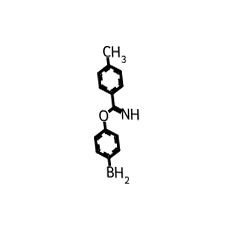 Bc1ccc(OC(=N)c2ccc(C)cc2)cc1